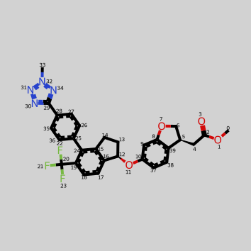 COC(=O)C[C@@H]1COc2cc(O[C@@H]3CCc4c3ccc(C(F)(F)F)c4-c3ccc(-c4nnn(C)n4)cc3)ccc21